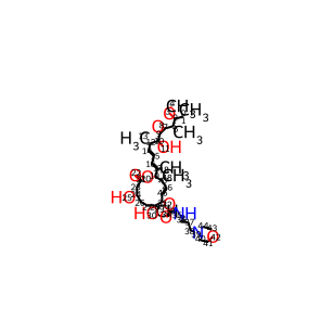 CCC(OC)C(C)C1OC1C(O)C(C)/C=C/C=C(\C)C1OC(=O)CC(O)CCC(C)(O)C(OC(=O)NCCCN2CCOCC2)/C=C/C1C